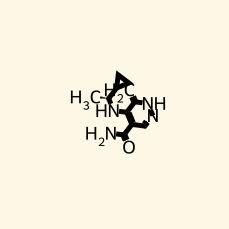 C=C1NN=CC(C(N)=O)=C1N[C@H](C)C1CC1